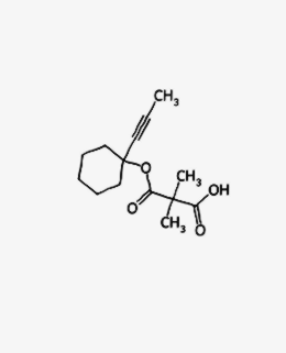 CC#CC1(OC(=O)C(C)(C)C(=O)O)CCCCC1